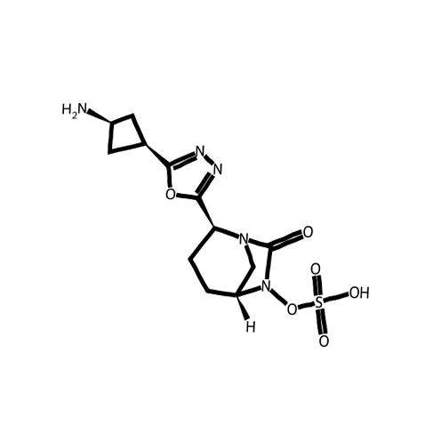 N[C@H]1C[C@@H](c2nnc([C@@H]3CC[C@@H]4CN3C(=O)N4OS(=O)(=O)O)o2)C1